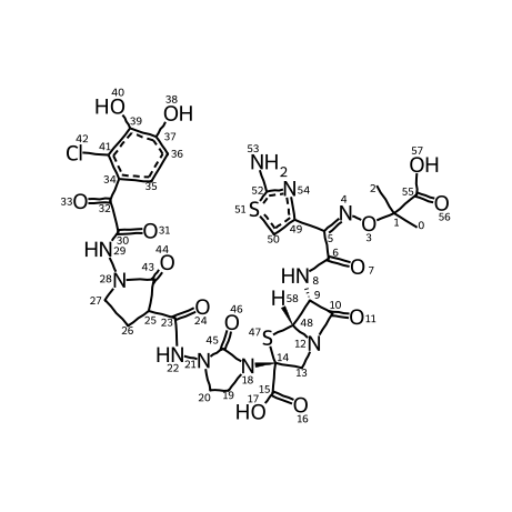 CC(C)(O/N=C(\C(=O)N[C@@H]1C(=O)N2C[C@@](C(=O)O)(N3CCN(NC(=O)C4CCN(NC(=O)C(=O)c5ccc(O)c(O)c5Cl)C4=O)C3=O)S[C@H]12)c1csc(N)n1)C(=O)O